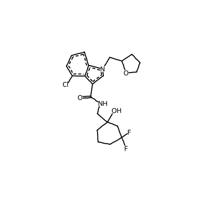 O=C(NCC1(O)CCCC(F)(F)C1)c1cn(CC2CCCO2)c2cccc(Cl)c12